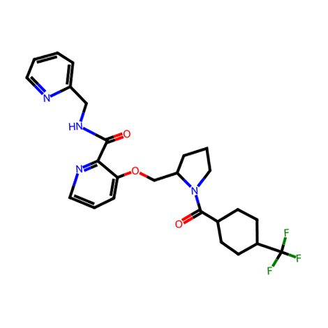 O=C(NCc1ccccn1)c1ncccc1OCC1CCCN1C(=O)C1CCC(C(F)(F)F)CC1